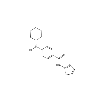 O=C(Nc1nccs1)c1ccc(N(O)C2CCCCC2)cc1